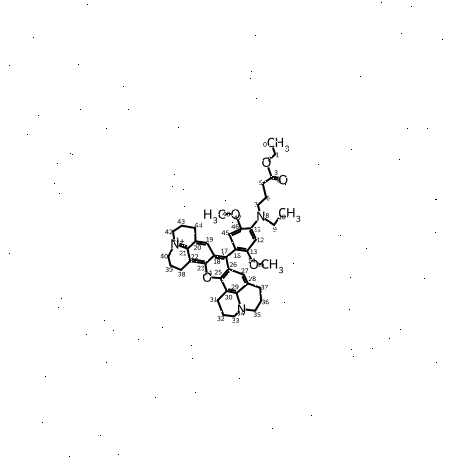 CCOC(=O)CCCN(CC)c1cc(OC)c(C2=c3cc4c5c(c3Oc3c2cc2c6c3CCCN6CCC2)CCC[N+]=5CCC4)cc1OC